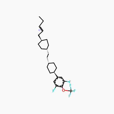 CC/C=C/C[C@H]1CC[C@H](CC[C@H]2CC[C@H](c3cc(F)c(OC(F)(F)F)c(F)c3)CC2)CC1